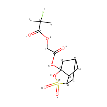 CC(C)(F)C(=O)OCC(=O)OC12CC3CC1C(C3)S(=O)(=O)O2